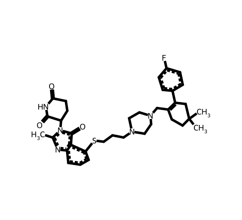 Cc1nc2cccc(SCCCN3CCN(CC4=C(c5ccc(F)cc5)CC(C)(C)CC4)CC3)c2c(=O)n1C1CCC(=O)NC1=O